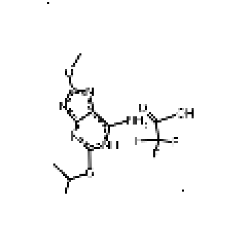 COc1nc2nc(OC(C)C)[nH]c(N)c-2n1.O=C(O)C(F)(F)F